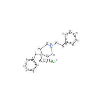 Cl.O=C(O)C1(Cc2ccccc2)CCN(CCc2ccccc2)CC1